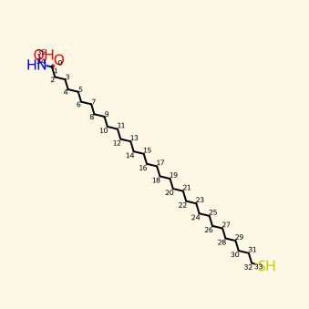 O=C(CCCCCCCCCCCCCCCCCCCCCCCCCCCCCCCS)NO